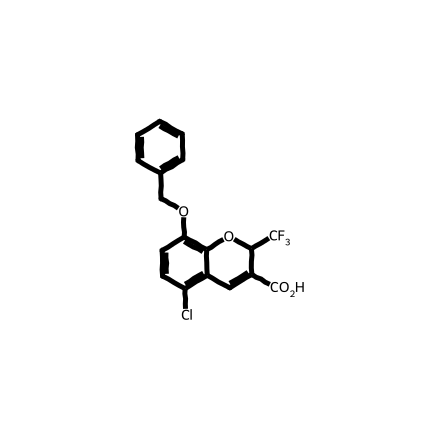 O=C(O)C1=Cc2c(Cl)ccc(OCc3ccccc3)c2OC1C(F)(F)F